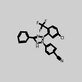 N#Cc1ccc(N2NC(c3ccccc3)=NN2c2cc(Cl)ccc2C(F)(F)F)cc1